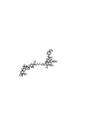 CC(C)(C)[C@H](NC(=O)COCCCCCNc1ccc(C(=O)N[C@H]2C(C)(C)[C@H](Oc3ccc(C#N)c(Cl)c3)C2(C)C)cn1)C(=O)N1C[C@H](O)C[C@H]1C(=O)NCc1ccc(C#N)cc1